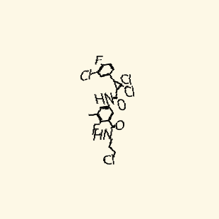 Cc1cc(NC(=O)C2C(c3ccc(F)c(Cl)c3)C2(Cl)Cl)cc(C(=O)NCCCCl)c1F